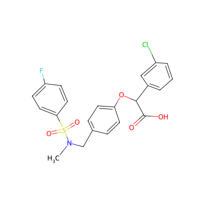 CN(Cc1ccc(OC(C(=O)O)c2cccc(Cl)c2)cc1)S(=O)(=O)c1ccc(F)cc1